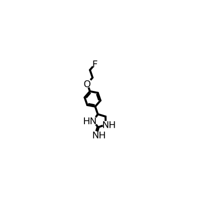 N=C1NCC(c2ccc(OCCF)cc2)N1